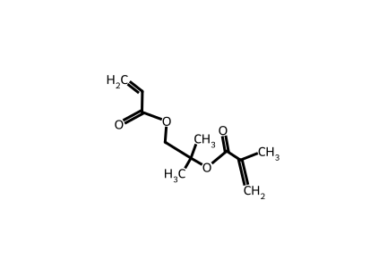 C=CC(=O)OCC(C)(C)OC(=O)C(=C)C